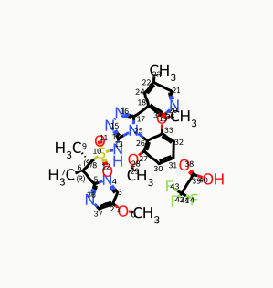 COc1cnc([C@@H](C)[C@H](C)S(=O)(=O)Nc2nnc(-c3cncc(C)c3)n2-c2c(OC)cccc2OC)nc1.O=C(O)C(F)(F)F